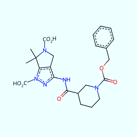 CC1(C)c2c(c(NC(=O)C3CCCN(C(=O)OCc4ccccc4)C3)nn2C(=O)O)CN1C(=O)O